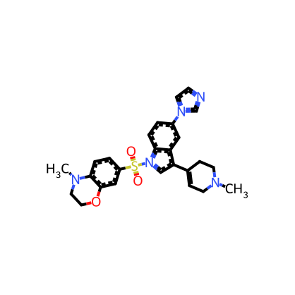 CN1CC=C(c2cn(S(=O)(=O)c3ccc4c(c3)OCCN4C)c3ccc(-n4ccnc4)cc23)CC1